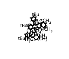 CC(C)(C)c1ccc(N2C3=C(OC4C3C(C)(C)CCC4(C)C)B3c4cc5c(cc4N(c4ccc(C(C)(C)C)cc4)c4cc(C(C)(C)C)cc2c43)C(C)(C)CCC5(C)C)cc1